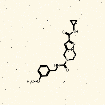 COc1cccc(CNC(=O)N2CCn3nc(C(=O)NC4CC4)cc3C2)c1